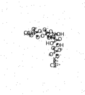 O=P(O)(O)O.O=P([O-])([O-])O.O=P([O-])([O-])[O-].O=P([O-])([O-])[O-].O=[N+]([O-])O.[Ca+2].[Ca+2].[Ca+2].[K+].[K+]